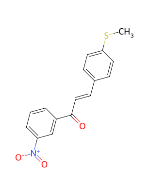 CSc1ccc(C=CC(=O)c2cccc([N+](=O)[O-])c2)cc1